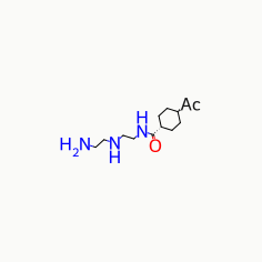 CC(=O)[C@H]1CC[C@H](C(=O)NCCNCCN)CC1